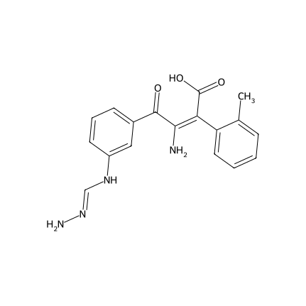 Cc1ccccc1C(C(=O)O)=C(N)C(=O)c1cccc(NC=NN)c1